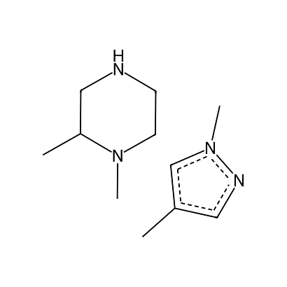 CC1CNCCN1C.Cc1cnn(C)c1